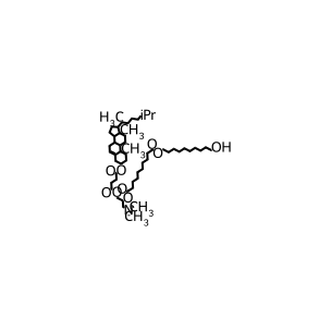 CC(C)CCCC(C)C1CCC2C3CC=C4CC(OC(=O)CCC(=O)OCC(CN(C)C)OC(=O)CCCCCCCCC(=O)OCCCCCCCCCCO)CCC4(C)C3CCC12C